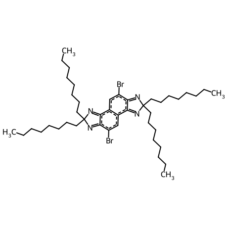 CCCCCCCCC1(CCCCCCCC)N=c2c(Br)cc3c4c(c(Br)cc3c2=N1)=NC(CCCCCCCC)(CCCCCCCC)N=4